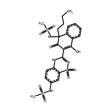 CCCCC1(NS(C)(=O)=O)C(=O)C(C2=NS(=O)(=O)c3cc(NS(C)(=O)=O)ccc3N2)=C(O)c2ccccc21